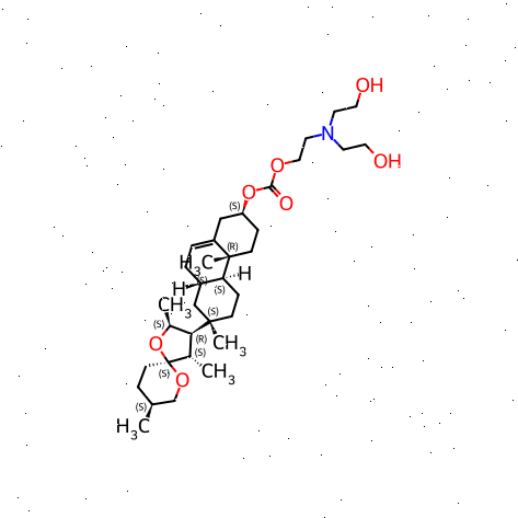 C[C@H]1CC[C@]2(OC1)O[C@@H](C)[C@@H]([C@@]1(C)CC[C@H]3[C@@H](CC=C4C[C@@H](OC(=O)OCCN(CCO)CCO)CC[C@@]43C)C1)[C@@H]2C